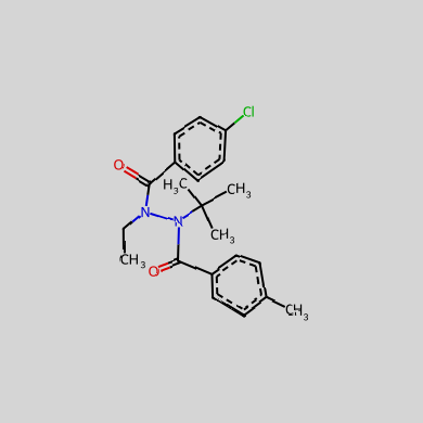 CCN(C(=O)c1ccc(Cl)cc1)N(C(=O)c1ccc(C)cc1)C(C)(C)C